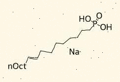 CCCCCCCCC=CCCCCCCCCP(=O)(O)O.[Na]